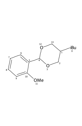 CCC(C)C1COC(c2ccccc2OC)OC1